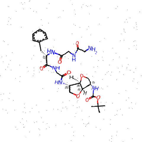 CC(C)(C)OC(=O)N[C@H]1CO[C@H]2[C@@H]1OC[C@@H]2NC(=O)CNC(=O)[C@H](Cc1ccccc1)NC(=O)CNC(=O)CN